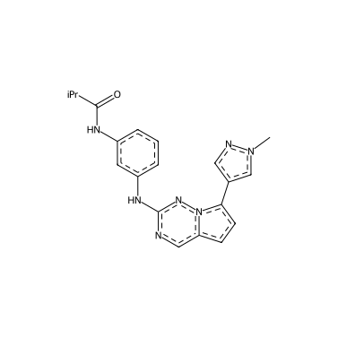 CC(C)C(=O)Nc1cccc(Nc2ncc3ccc(-c4cnn(C)c4)n3n2)c1